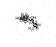 C=P(C)(O)OP(=O)(OC)OP(=O)(OC)OCC1OC(n2cc(C)c(=O)[nH]c2=S)CC1O